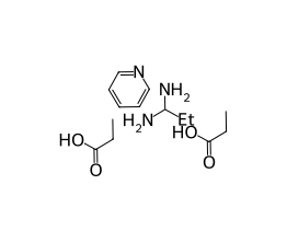 CCC(=O)O.CCC(=O)O.CCC(N)N.c1ccncc1